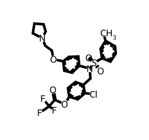 Cc1cccc(S(=O)(=O)N(Cc2ccc(OC(=O)C(F)(F)F)cc2Cl)c2ccc(OCCN3CCCC3)cc2)c1